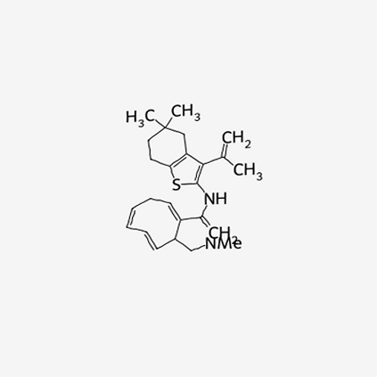 C=C(Nc1sc2c(c1C(=C)C)CC(C)(C)CC2)/C1=C/C/C=C\C=C\C1CNC